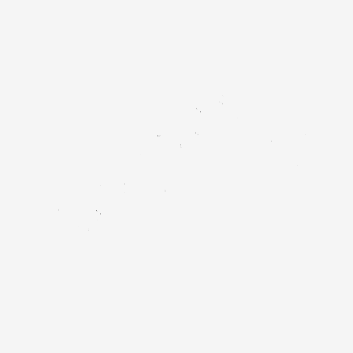 CC(C)(C)Cc1nnc(-c2ccc(C3CN(C(=O)O)C3)cc2)o1